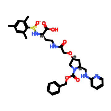 Cc1cc(C)c([S+]([O-])N[C@@H](CCNC(=O)CO[C@@H]2C[C@@H](CNc3ccccn3)N(C(=O)OCc3ccccc3)C2)C(=O)O)c(C)c1